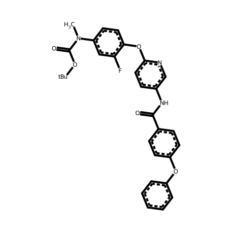 CN(C(=O)OC(C)(C)C)c1ccc(Oc2ccc(NC(=O)c3ccc(Oc4ccccc4)cc3)cn2)c(F)c1